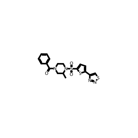 CC1CN(C(=O)c2ccccc2)CCN1S(=O)(=O)c1ccc(-c2csnn2)s1